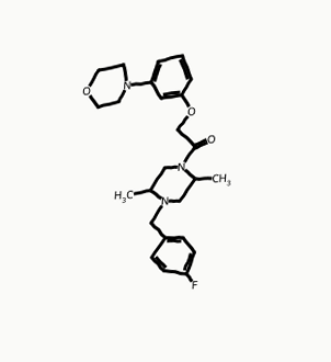 CC1CN(C(=O)COc2cccc(N3CCOCC3)c2)C(C)CN1Cc1ccc(F)cc1